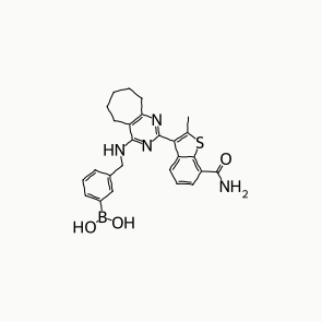 Cc1sc2c(C(N)=O)cccc2c1-c1nc2c(c(NCc3cccc(B(O)O)c3)n1)CCCCC2